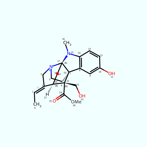 C/C=C1/CN2CC[C@@]34c5cc(O)ccc5N(C)[C@@]23CC[C@H]1[C@@]4(CO)C(=O)OC